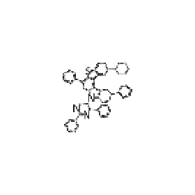 C1=CCC(c2ccc3sc4c(-c5ccccc5)cc5c(c6c(n5-c5cnc(-c7ccccc7)nc5-c5ccccc5)C=CC(c5ccccc5)C6)c4c3c2)C=C1